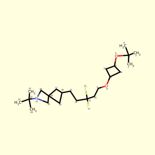 CC(C)(C)OC1CC(OCCC(F)(F)CCC2CC3(C2)CN(C(C)(C)C)C3)C1